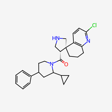 O=C([C@@H]1CNC[C@]12CCCc1nc(Cl)ccc12)N1CCC(c2ccccc2)CC1C1CC1